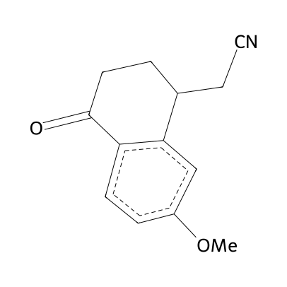 COc1ccc2c(c1)C(CC#N)CCC2=O